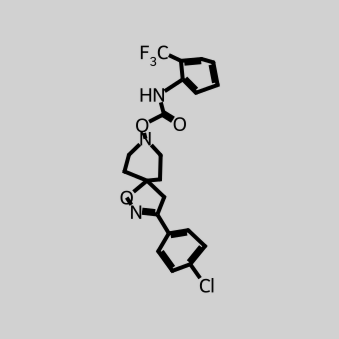 O=C(Nc1ccccc1C(F)(F)F)ON1CCC2(CC1)CC(c1ccc(Cl)cc1)=NO2